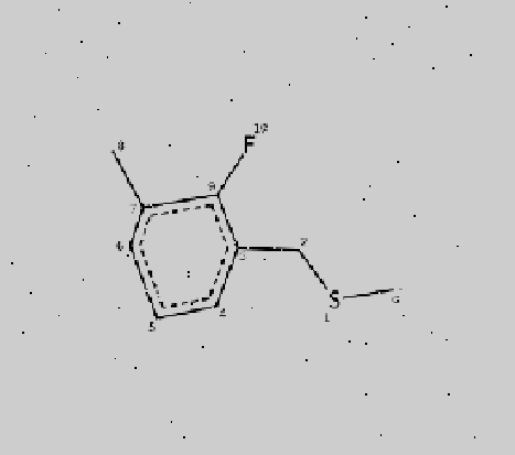 [CH2]SCc1cccc(C)c1F